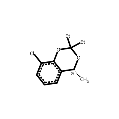 CCC1(CC)Oc2c(Cl)cccc2[C@@H](C)O1